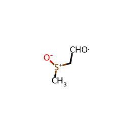 C[S+]([O-])C[C]=O